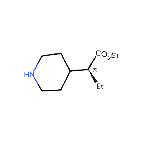 [CH2]C[C@H](C(=O)OCC)C1CCNCC1